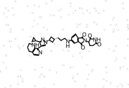 O=C1CCC(N2C(=O)c3ccc(NCCC[C@H]4C[C@H](n5cc(-c6nccc7c6NCCC7)c(C6CC6)n5)C4)cc3C2=O)C(=O)N1